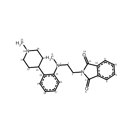 CN(CCN1C(=O)c2ccccc2C1=O)c1ccccc1C1CCN(P)CC1